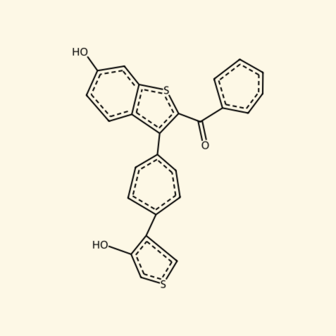 O=C(c1ccccc1)c1sc2cc(O)ccc2c1-c1ccc(-c2cscc2O)cc1